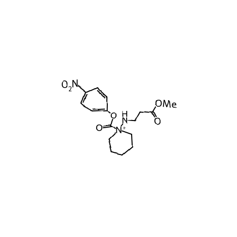 COC(=O)CCN[N+]1(C(=O)Oc2ccc([N+](=O)[O-])cc2)CCCCC1